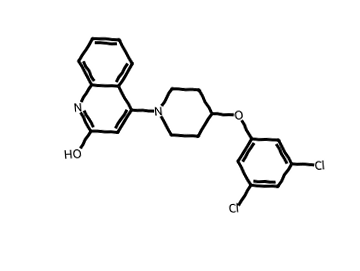 Oc1cc(N2CCC(Oc3cc(Cl)cc(Cl)c3)CC2)c2ccccc2n1